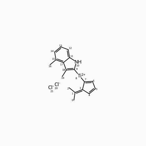 CC(C)=C1C=CC=[C]1[Ti+2][c]1[nH]c2cccc(C)c2c1C.[Cl-].[Cl-]